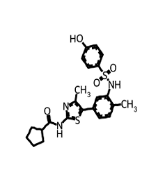 Cc1ccc(-c2sc(NC(=O)C3CCCC3)nc2C)cc1NS(=O)(=O)c1ccc(O)cc1